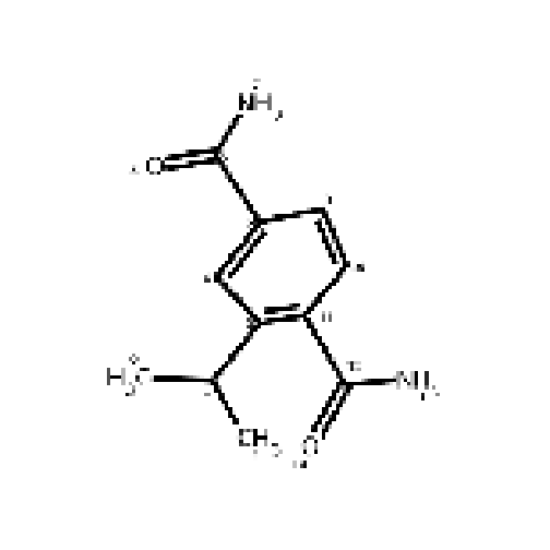 CC(C)c1cc(C(N)=O)ccc1C(N)=O